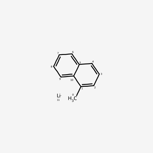 Cc1cccc2ccccc12.[Li]